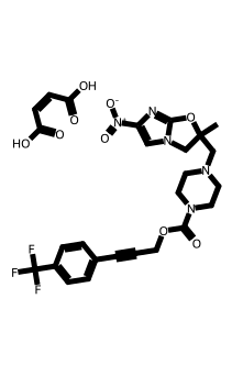 CC1(CN2CCN(C(=O)OCC#Cc3ccc(C(F)(F)F)cc3)CC2)Cn2cc([N+](=O)[O-])nc2O1.O=C(O)/C=C\C(=O)O